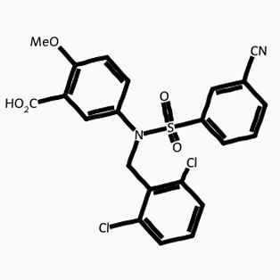 COc1ccc(N(Cc2c(Cl)cccc2Cl)S(=O)(=O)c2cccc(C#N)c2)cc1C(=O)O